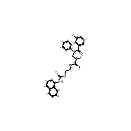 CC(CN(C(=O)c1cncc(Br)c1)c1ccccc1)C(=O)NCCOC(=O)Nc1cccc2ccccc12